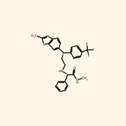 CNC(=O)[C@H](NCC[C@H](c1ccc(C(F)(F)F)cc1)c1ccc2nc(C)sc2c1)c1ccccc1